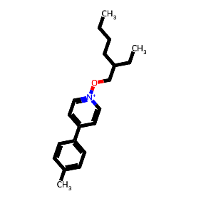 CCCCC(CC)CO[n+]1ccc(-c2ccc(C)cc2)cc1